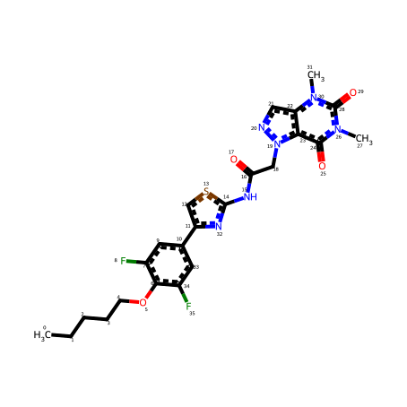 CCCCCOc1c(F)cc(-c2csc(NC(=O)Cn3ncc4c3c(=O)n(C)c(=O)n4C)n2)cc1F